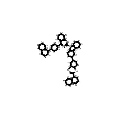 C=C(Sc1ccc(-c2ccc3c(c2)c2ccccc2n3-c2nc(-c3ccc(-c4cccc5ccccc45)cc3)c3ccccc3n2)cc1C)c1cccc2ccccc12